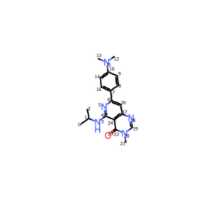 CC(C)Nc1nc(-c2ccc(N(C)C)cc2)cc2ncn(C)c(=O)c12